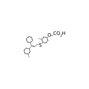 Cc1cccc(C(=CCSc2ccc(OCC(=O)O)cc2C)c2ccccc2)c1